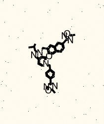 Cc1nc(-c2ccc(Cn3ccc4nc(C(C)C)n(Cc5ccc6ccc(-c7noc(C)n7)cc6c5)c4c3=O)cc2)no1